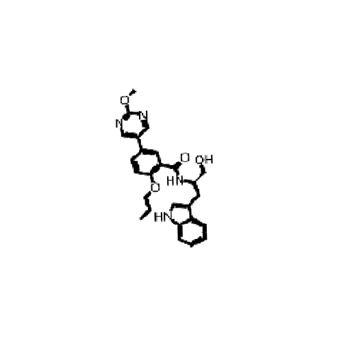 CCCOc1ccc(-c2cnc(OC)nc2)cc1C(=O)N[C@@H](CO)Cc1c[nH]c2ccccc12